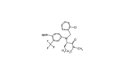 CC[C@H](C(=O)N(C)C)N(Cc1ccccc1Cl)c1ccc(C#N)c(C(F)(F)F)c1